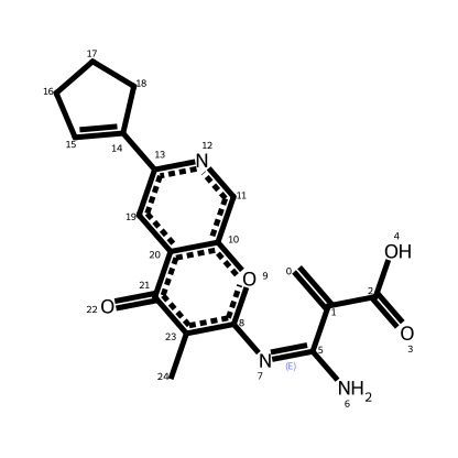 C=C(C(=O)O)/C(N)=N\c1oc2cnc(C3=CCCC3)cc2c(=O)c1C